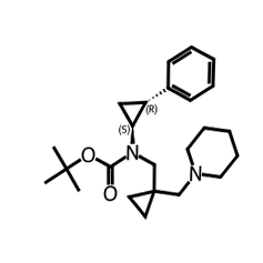 CC(C)(C)OC(=O)N(CC1(CN2CCCCC2)CC1)[C@H]1C[C@@H]1c1ccccc1